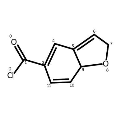 O=C(Cl)C1=CC2=CCOC2C=C1